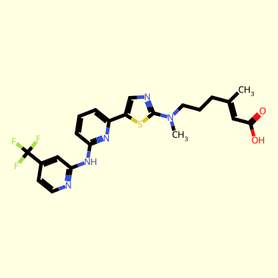 CC(=CC(=O)O)CCCN(C)c1ncc(-c2cccc(Nc3cc(C(F)(F)F)ccn3)n2)s1